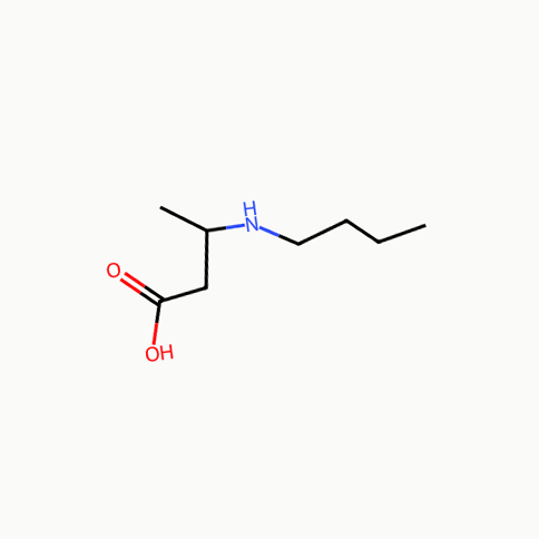 CCCCNC(C)CC(=O)O